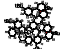 CC(C)(C)c1ccc(N2c3cc(C(C)(C)C)ccc3B3c4ccc(C(C)(C)C)cc4N(c4ccc(C(C)(C)C)cc4-c4ccccc4)c4cc(N5c6ccc(C(C)(C)C)cc6C6(c7ccccc7)CCc7ccccc7C56C)cc2c43)c(-c2ccccc2)c1